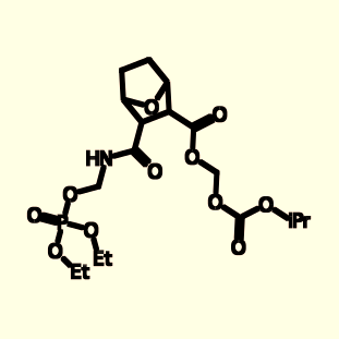 CCOP(=O)(OCC)OCNC(=O)C1C2CCC(O2)C1C(=O)OCOC(=O)OC(C)C